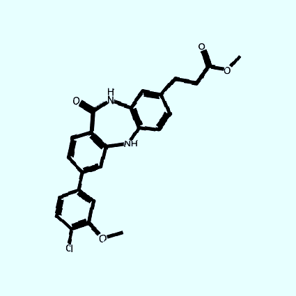 COC(=O)CCc1ccc2c(c1)NC(=O)c1ccc(-c3ccc(Cl)c(OC)c3)cc1N2